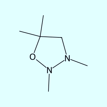 CN1CC(C)(C)ON1C